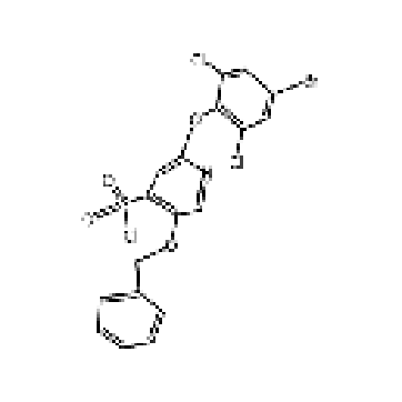 O=S(=O)(Cl)c1cc(Oc2c(Cl)cc(Br)cc2Cl)ncc1OCc1ccccc1